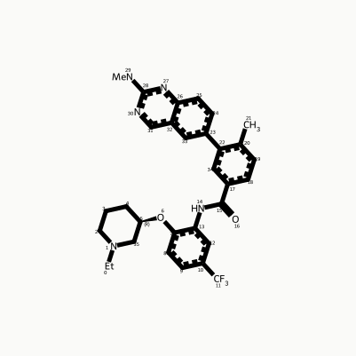 CCN1CCC[C@@H](Oc2ccc(C(F)(F)F)cc2NC(=O)c2ccc(C)c(-c3ccc4nc(NC)ncc4c3)c2)C1